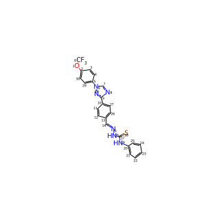 FC(F)(F)Oc1ccc(-n2cnc(-c3ccc(/C=N/NC(=S)Nc4ccccc4)cc3)n2)cc1